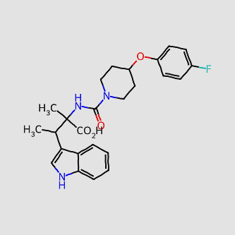 CC(c1c[nH]c2ccccc12)C(C)(NC(=O)N1CCC(Oc2ccc(F)cc2)CC1)C(=O)O